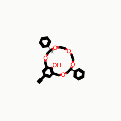 C#Cc1cc2c(O)c(c1)COC[C@H](c1ccccc1)OCCOCCO[C@@H](c1ccccc1)COC2